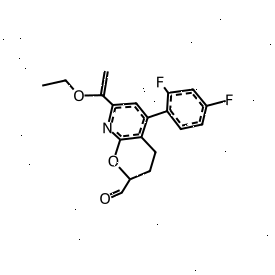 C=C(OCC)c1cc(-c2ccc(F)cc2F)c2c(n1)OC(C=O)CC2